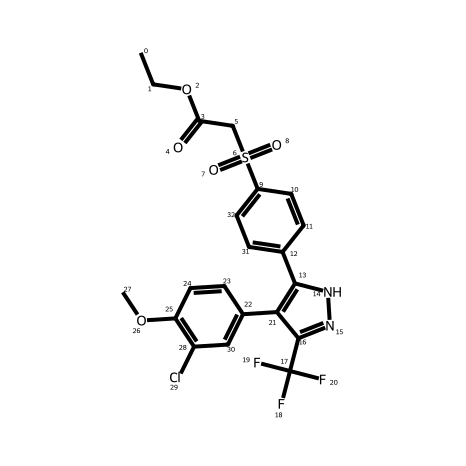 CCOC(=O)CS(=O)(=O)c1ccc(-c2[nH]nc(C(F)(F)F)c2-c2ccc(OC)c(Cl)c2)cc1